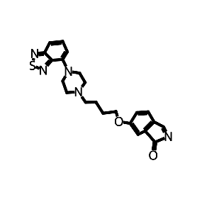 O=C1N=Cc2ccc(OCCCCN3CCN(c4cccc5nsnc45)CC3)cc21